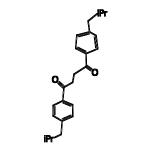 CC(C)Cc1ccc(C(=O)CCC(=O)c2ccc(CC(C)C)cc2)cc1